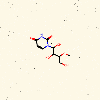 COC(CO)C(O)C(O)n1ccc(=O)[nH]c1=O